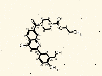 CCCOC(=O)N1CCN(C(=O)c2ccc3c(Cl)cc(-c4ccc(C)c(CO)c4)nc3c2)CC1